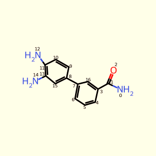 NC(=O)c1cccc(-c2ccc(N)c(N)c2)c1